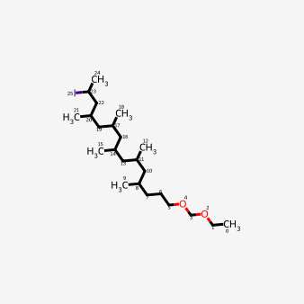 CCOCOCCCC(C)CC(C)CC(C)CC(C)CC(C)CC(C)I